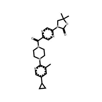 Cc1cc(C2CC2)cnc1N1CCN(C(=O)c2cnc(N3CC(C)(C)OC3=O)cn2)CC1